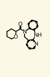 O=C(C1CCCCO1)N1Cc2cccnc2Nc2ccccc21